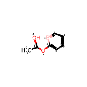 CC(O)Oc1bcccc1